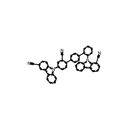 N#Cc1ccc2c(c1)c1ccccc1n2-c1ccc(-c2ccc(-c3ccccc3-n3c4ccccc4c4cccc(C#N)c43)cc2)c(C#N)c1